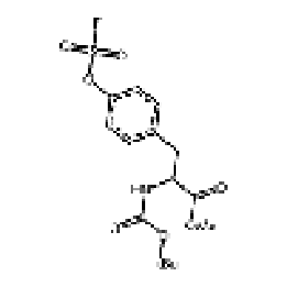 COC(=O)C(Cc1ccc(OS(=O)(=O)F)cc1)NC(=O)OC(C)(C)C